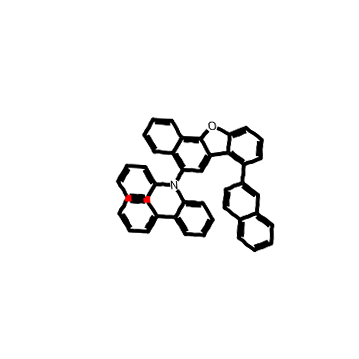 c1ccc(-c2ccccc2N(c2ccccc2)c2cc3c(oc4cccc(-c5ccc6ccccc6c5)c43)c3ccccc23)cc1